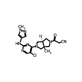 Cn1cc(Nc2ncc(Cl)c(N3C[C@H]4CN(C(=O)CC#N)C[C@]4(C)C3)n2)cn1